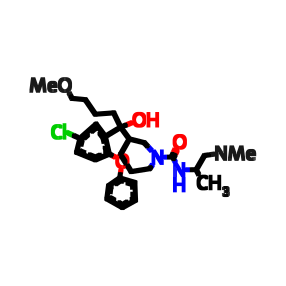 CNCC(C)NC(=O)N1CCCC(C(O)(CCCCOC)c2cc(Cl)ccc2Oc2ccccc2)C1